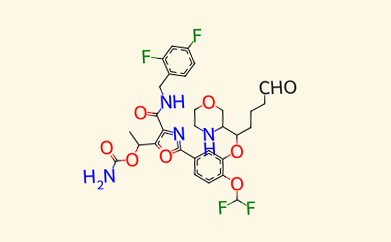 CC(OC(N)=O)c1oc(-c2ccc(OC(F)F)c(OC(CCCC=O)C3COCCN3)c2)nc1C(=O)NCc1ccc(F)cc1F